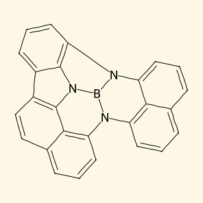 c1cc2c3c(cccc3c1)N1B3N2c2cccc4ccc5c6cccc1c6n3c5c24